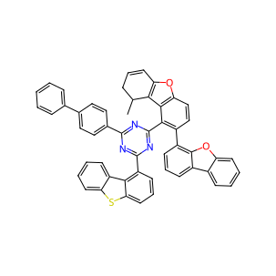 CC1CC=Cc2oc3ccc(-c4cccc5c4oc4ccccc45)c(-c4nc(-c5ccc(-c6ccccc6)cc5)nc(-c5cccc6sc7ccccc7c56)n4)c3c21